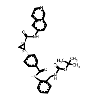 CC(C)(C)OC(=O)NCc1ccccc1NC(=O)c1ccc([C@@H]2C[C@H]2C(=O)Nc2ccc3cnccc3c2)cc1